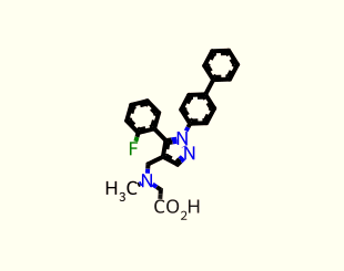 CN(CC(=O)O)Cc1cnn(-c2ccc(-c3ccccc3)cc2)c1-c1ccccc1F